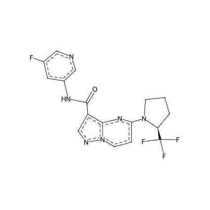 O=C(Nc1cncc(F)c1)c1cnn2ccc(N3CCC[C@H]3C(F)(F)F)nc12